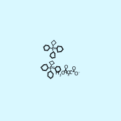 CC(=O)[O-].CC(=O)[O-].c1ccc([P+](c2ccccc2)(c2ccccc2)C2CCC2)cc1.c1ccc([P+](c2ccccc2)(c2ccccc2)C2CCC2)cc1